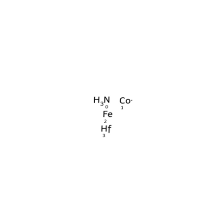 N.[Co].[Fe].[Hf]